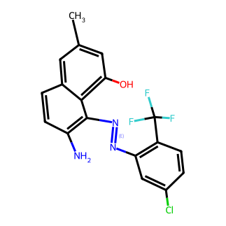 Cc1cc(O)c2c(/N=N/c3cc(Cl)ccc3C(F)(F)F)c(N)ccc2c1